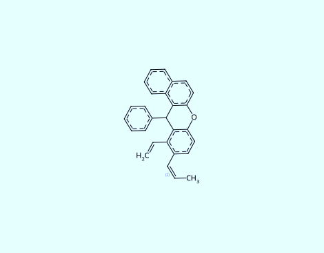 C=Cc1c(/C=C\C)ccc2c1C(c1ccccc1)c1c(ccc3ccccc13)O2